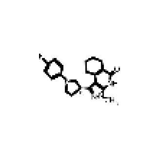 Cn1nc([C@H]2CCN(c3ccc(F)cc3)C2)c2c3c(c(=O)[nH]c21)CCCC3